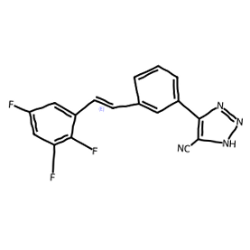 N#Cc1[nH]nnc1-c1cccc(/C=C/c2cc(F)cc(F)c2F)c1